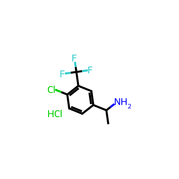 CC(N)c1ccc(Cl)c(C(F)(F)F)c1.Cl